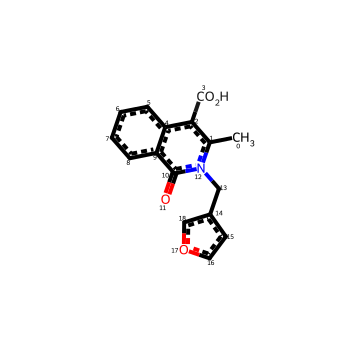 Cc1c(C(=O)O)c2ccccc2c(=O)n1Cc1ccoc1